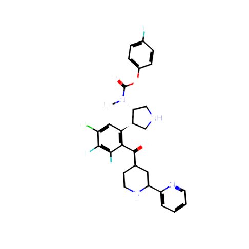 CCN(C(=O)Oc1ccc(F)cc1)[C@@H]1CNC[C@H]1c1cc(Cl)c(F)c(F)c1C(=O)C1CCNC(c2ccccn2)C1